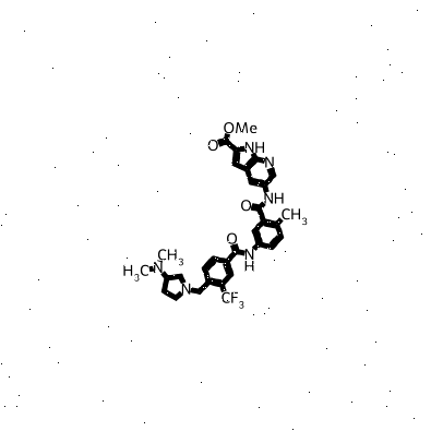 COC(=O)c1cc2cc(NC(=O)c3cc(NC(=O)c4ccc(CN5CCC(N(C)C)C5)c(C(F)(F)F)c4)ccc3C)cnc2[nH]1